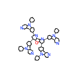 c1ccc(-n2c3ccncc3c3cc(-c4cc(-c5ccc6c(c5)c5cnccc5n6-c5ccccc5)c5oc6c(-c7ccc8c(c7)c7cnccc7n8-c7ccccc7)cc(-c7ccc8c(c7)c7cnccc7n8-c7ccccc7)nc6c5n4)ccc32)cc1